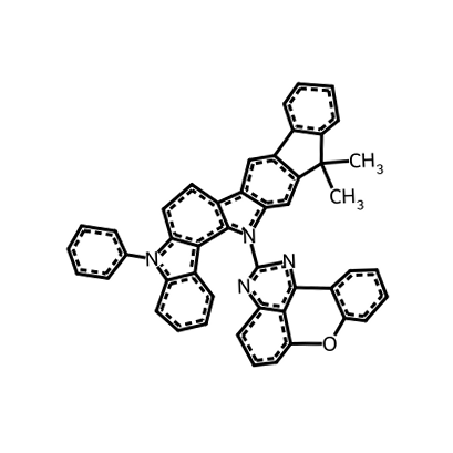 CC1(C)c2ccccc2-c2cc3c4ccc5c(c6ccccc6n5-c5ccccc5)c4n(-c4nc5c6c(cccc6n4)Oc4ccccc4-5)c3cc21